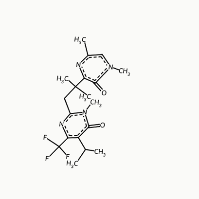 Cc1cn(C)c(=O)c(C(C)(C)Cc2nc(C(F)(F)F)c(C(C)C)c(=O)n2C)n1